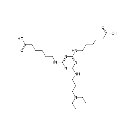 CCN(CC)CCCNc1nc(NCCCCCC(=O)O)nc(NCCCCCC(=O)O)n1